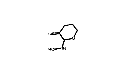 O=C1CCCOC1NO